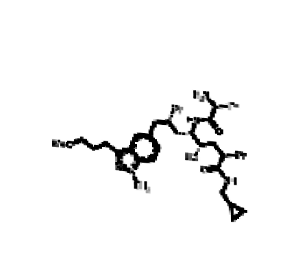 COCCCc1nn(C)c2ccc(C[C@@H](C[C@H](NC(=O)[C@@H](N)C(C)C)[C@@H](O)C[C@H](C(=O)NCC3CC3)C(C)C)C(C)C)cc12